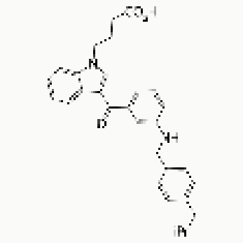 CC(C)Cc1ccc(CNc2cccc(C(=O)c3cn(CCCC(=O)O)c4ccccc34)c2)cc1